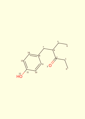 CCC(=O)C(CC)Cc1ccc(O)cc1